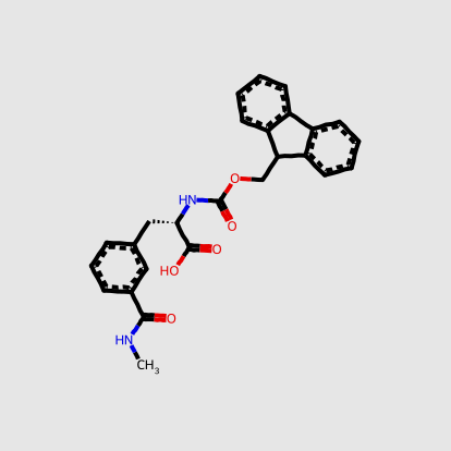 CNC(=O)c1cccc(C[C@H](NC(=O)OCC2c3ccccc3-c3ccccc32)C(=O)O)c1